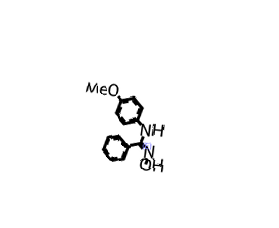 COc1ccc(N/C(=N/O)c2ccccc2)cc1